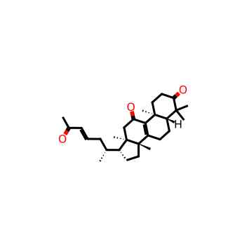 CC(=O)/C=C/C[C@@H](C)[C@H]1CC[C@@]2(C)C3=C(C(=O)C[C@]12C)[C@@]1(C)CCC(=O)C(C)(C)[C@@H]1CC3